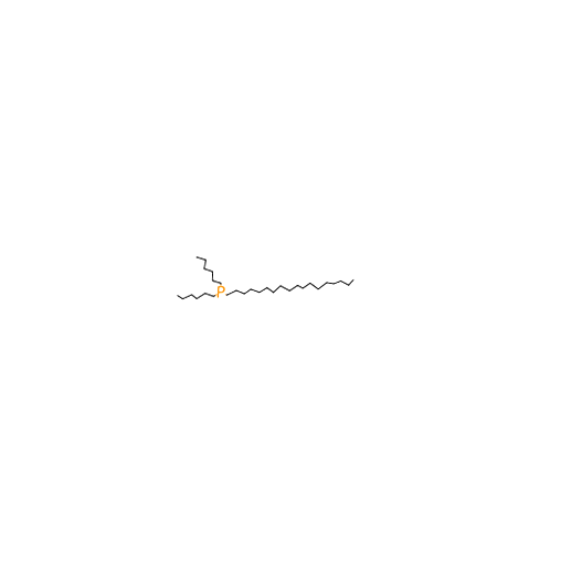 CCCCCCCCCCCCCCCCCCP(CCCCCC)CCCCCC